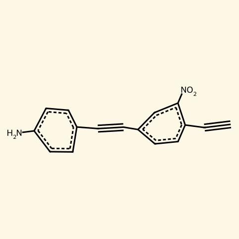 C#Cc1ccc(C#Cc2ccc(N)cc2)cc1[N+](=O)[O-]